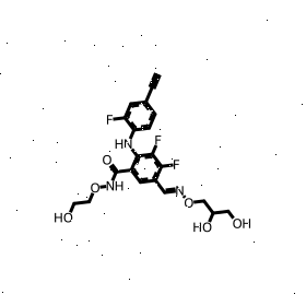 C#Cc1ccc(Nc2c(C(=O)NOCCO)cc(/C=N/OCC(O)CO)c(F)c2F)c(F)c1